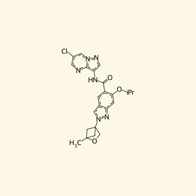 CC(C)Oc1cc2nn(C34COC(C)(C3)C4)cc2cc1C(=O)Nc1cnn2cc(Cl)cnc12